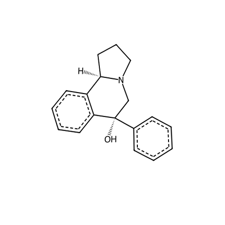 O[C@@]1(c2ccccc2)CN2CCC[C@@H]2c2ccccc21